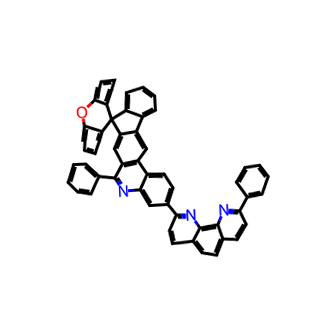 c1ccc(-c2ccc3ccc4ccc(-c5ccc6c(c5)nc(-c5ccccc5)c5cc7c(cc56)-c5ccccc5C75c6ccccc6Oc6ccccc65)nc4c3n2)cc1